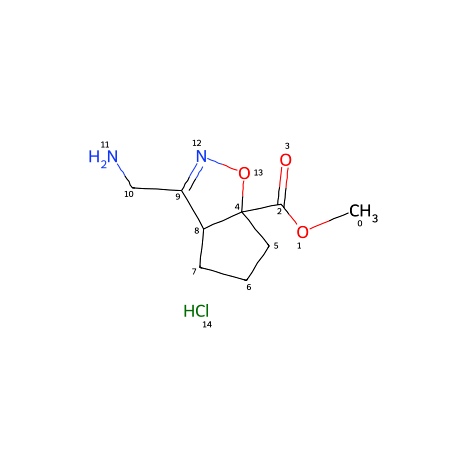 COC(=O)C12CCCC1C(CN)=NO2.Cl